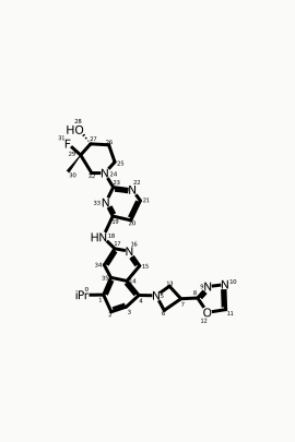 CC(C)c1ccc(N2CC(c3nnco3)C2)c2cnc(Nc3ccnc(N4CC[C@@H](O)[C@@](C)(F)C4)n3)cc12